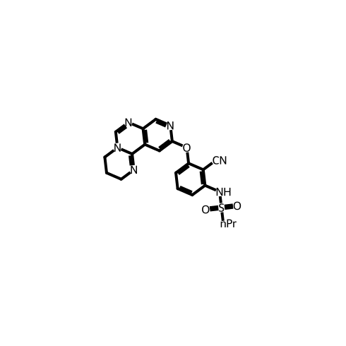 CCCS(=O)(=O)Nc1cccc(Oc2cc3c(cn2)N=CN2CCCN=C32)c1C#N